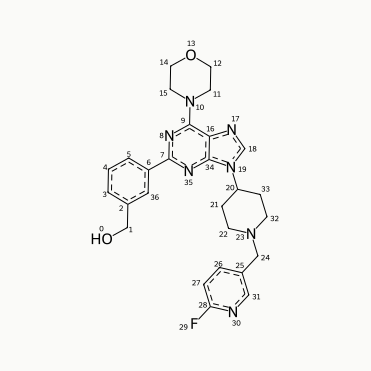 OCc1cccc(-c2nc(N3CCOCC3)c3ncn(C4CCN(Cc5ccc(F)nc5)CC4)c3n2)c1